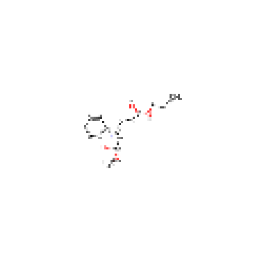 CCCOC(=O)CC/C(=C/C(=O)OC)c1ccccc1